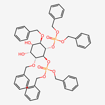 O=P(OCc1ccccc1)(OCc1ccccc1)O[C@@H]1[C@@H](OP(=O)(OCc2ccccc2)OCc2ccccc2)[C@H](OCc2ccccc2)[C@@H](O)[C@@H](O)[C@H]1OCc1ccccc1